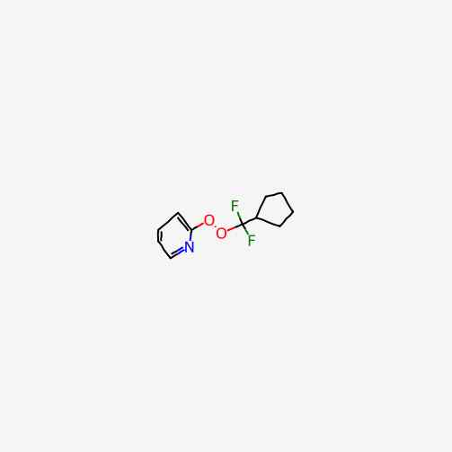 FC(F)(OOc1ccccn1)C1CCCC1